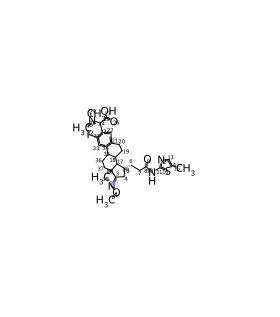 CO/N=C1\C[C@@H](CCC(=O)Nc2ncc(C)s2)C2C3CCc4cc(C(C(=O)O)N(C)C)c(I)cc4C3CC[C@]12C